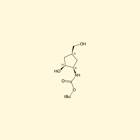 CC(C)(C)OC(=O)N[C@@H]1C[C@H](CO)C[C@@H]1O